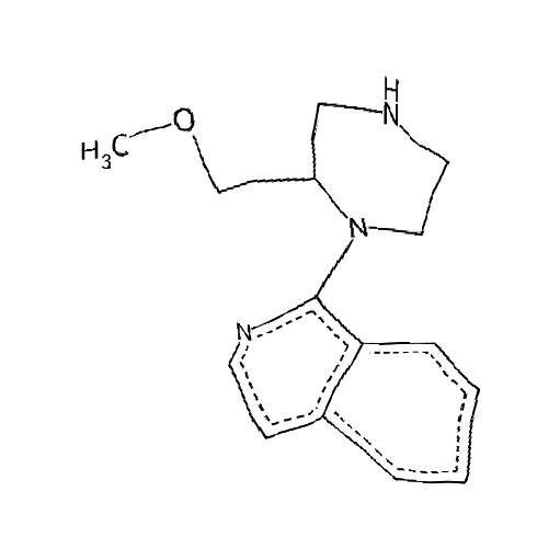 COCC1CNCCN1c1nccc2ccccc12